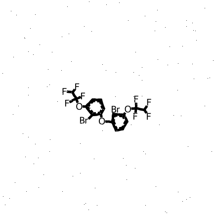 FC(F)C(F)(F)Oc1cccc(Oc2cccc(OC(F)(F)C(F)F)c2Br)c1Br